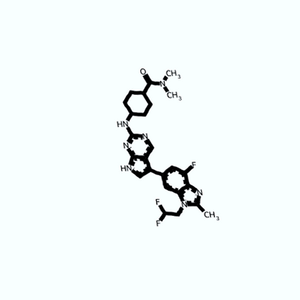 Cc1nc2c(F)cc(-c3c[nH]c4nc(NC5CCC(C(=O)N(C)C)CC5)ncc34)cc2n1CC(F)F